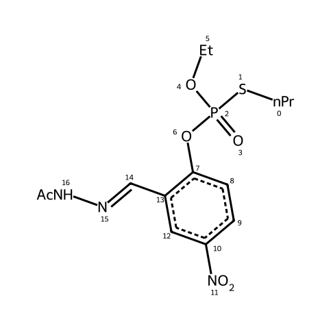 CCCSP(=O)(OCC)Oc1ccc([N+](=O)[O-])cc1C=NNC(C)=O